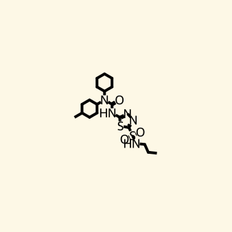 CCCNS(=O)(=O)c1nnc(NC(=O)N(C2CCCCC2)C2CCC(C)CC2)s1